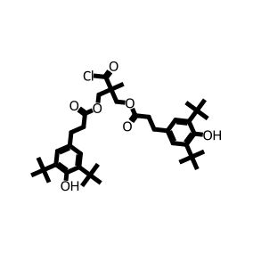 CC(COC(=O)CCc1cc(C(C)(C)C)c(O)c(C(C)(C)C)c1)(COC(=O)CCc1cc(C(C)(C)C)c(O)c(C(C)(C)C)c1)C(=O)Cl